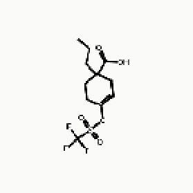 CCCC1(C(=O)O)CC=C(OS(=O)(=O)C(F)(F)F)CC1